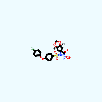 O=C(NO)[C@]1(NS(=O)(=O)c2ccc(Oc3ccc(Cl)cc3)cc2)C[C@@H]2OCO[C@@H]2C1